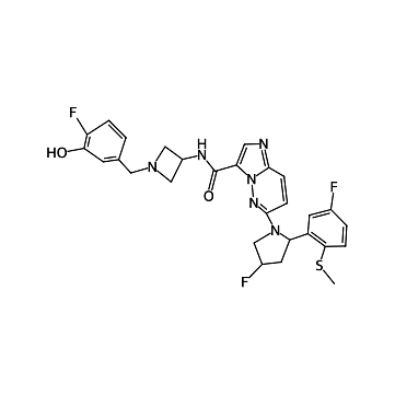 CSc1ccc(F)cc1C1CC(F)CN1c1ccc2ncc(C(=O)NC3CN(Cc4ccc(F)c(O)c4)C3)n2n1